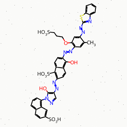 Cc1cc(N=Nc2ccc3c(S(=O)(=O)O)c(N=Nc4cnn(-c5cccc6ccc(S(=O)(=O)O)cc56)c4O)ccc3c2O)c(OCCCS(=O)(=O)O)cc1N=Nc1nc2ccccc2s1